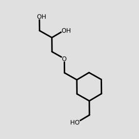 OCC(O)COCC1CCCC(CO)C1